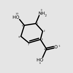 NC1CC(C(=O)O)=CCC1O